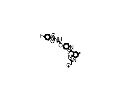 COCc1cnc2c(-c3nc4ccc(OCCNS(=O)(=O)c5ccc(F)cc5)cc4s3)cc(C)cc2n1